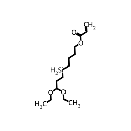 C=CC(=O)OCCCC[SiH2]CCC(OCC)OCC